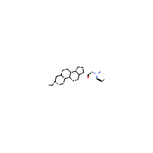 CN/C=C\N(C)CC(=O)[C@H]1CCC2C3CC[C@@H]4C[C@@](O)(COC)CC[C@@H]4C3CC[C@@]21C